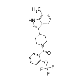 Cc1cccc2c(C3CCN(C(=O)c4ccccc4OC(F)(F)F)CC3)c[nH]c12